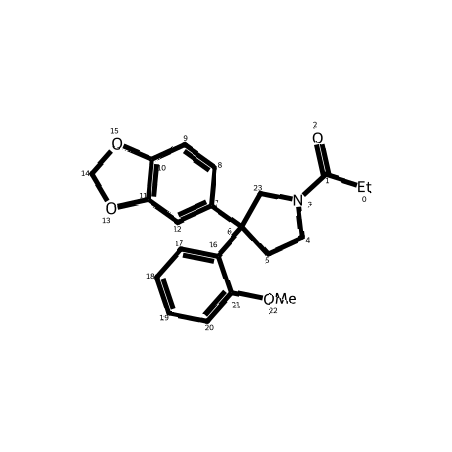 CCC(=O)N1CCC(c2ccc3c(c2)OCO3)(c2ccccc2OC)C1